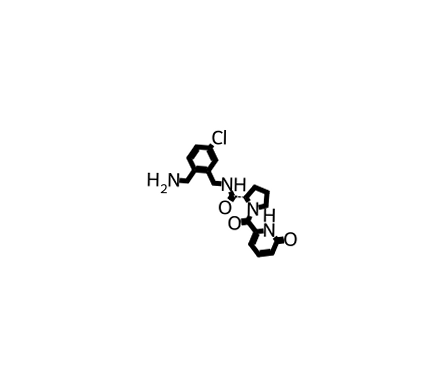 NCc1ccc(Cl)cc1CNC(=O)[C@@H]1CCCN1C(=O)c1cccc(=O)[nH]1